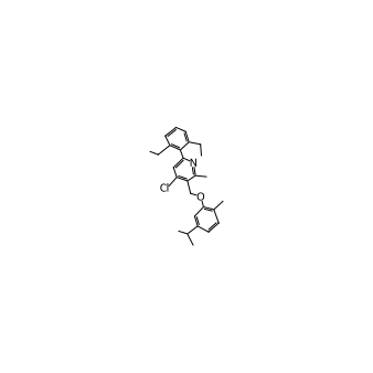 CCc1cccc(CC)c1-c1cc(Cl)c(COc2cc(C(C)C)ccc2C)c(C)n1